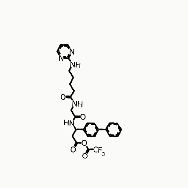 O=C(CCCCNc1ncccn1)NCC(=O)NC(CC(=O)OC(=O)C(F)(F)F)c1ccc(-c2ccccc2)cc1